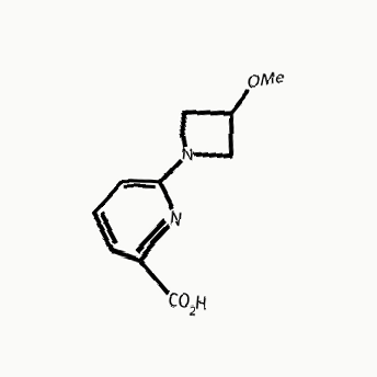 COC1CN(c2cccc(C(=O)O)n2)C1